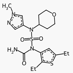 CCc1cc(N(C(N)=O)S(=O)(=O)N(c2cnn(C)c2)C2CCOCC2)c(CC)s1